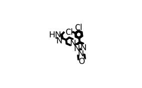 Cc1[nH]cnc1C1CCN(c2nc(N3CCOCC3)ncc2-c2ccc(Cl)c(Cl)c2)CC1